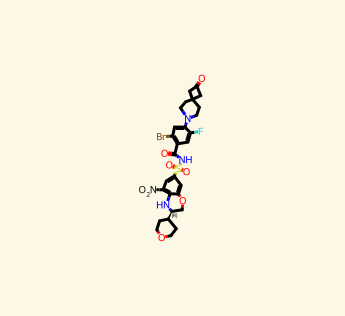 O=C1CC2(CCN(c3cc(Br)c(C(=O)NS(=O)(=O)c4cc5c(c([N+](=O)[O-])c4)N[C@H](C4CCOCC4)CO5)cc3F)CC2)C1